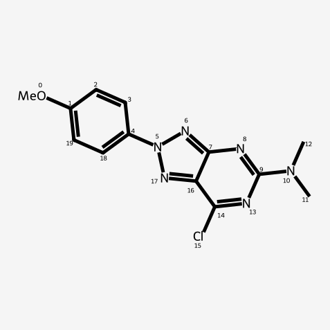 COc1ccc(-n2nc3nc(N(C)C)nc(Cl)c3n2)cc1